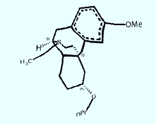 CCCO[C@@H]1CCC2[C@H]3Cc4ccc(OC)cc4[C@@]2(CCN3C)C1